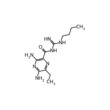 CCCCNC(=N)NC(=O)c1nc(CC)c(N)nc1N